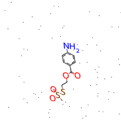 CS(=O)(=O)SCCOC(=O)c1ccc(N)cc1